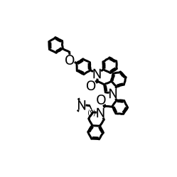 CN(C)C[C@@H]1Cc2ccccc2CN1C(=O)c1ccccc1-n1cc(C(=O)N(c2ccccc2)c2ccc(OCc3ccccc3)cc2)c2ccccc21